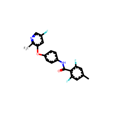 Cc1cc(F)c(C(=O)Nc2ccc(Oc3cc(F)cnc3C(F)(F)F)cc2)c(F)c1